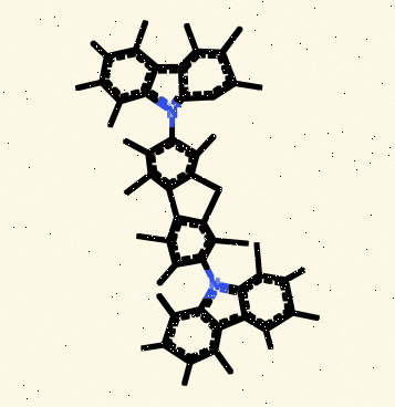 Cc1cc2c(c(C)c1C)c1c(C)c(C)c(C)c(C)c1n2-c1c(C)c(C)c2c(c1C)Cc1c(C)c(-n3c4c(C)c(C)c(C)c(C)c4c4c(C)c(C)c(C)c(C)c43)c(C)c(C)c1-2